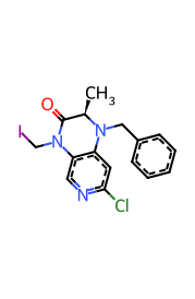 C[C@@H]1C(=O)N(CI)c2cnc(Cl)cc2N1Cc1ccccc1